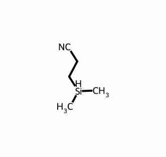 C[SiH](C)CCC#N